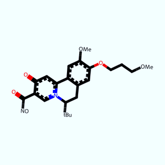 COCCCOc1cc2c(cc1OC)-c1cc(=O)c(C(=O)N=O)cn1C(C(C)(C)C)C2